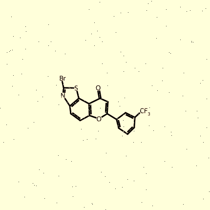 O=c1cc(-c2cccc(C(F)(F)F)c2)oc2ccc3nc(Br)sc3c12